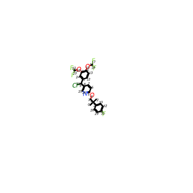 CC(C)(COc1ccc(C(Cl)c2ccc(OC(F)F)c(OC(F)F)c2)cn1)c1ccc(F)cc1